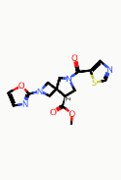 COC(=O)[C@@H]1CN(C(=O)c2cncs2)CC12CN(c1ncco1)C2